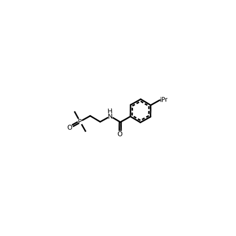 CC(C)c1ccc(C(=O)NCCP(C)(C)=O)cc1